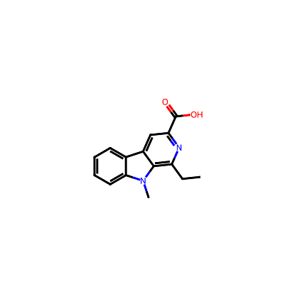 CCc1nc(C(=O)O)cc2c3ccccc3n(C)c12